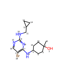 CC1(O)CCC(Nc2nc(NCC3CC3)ncc2Br)CC1